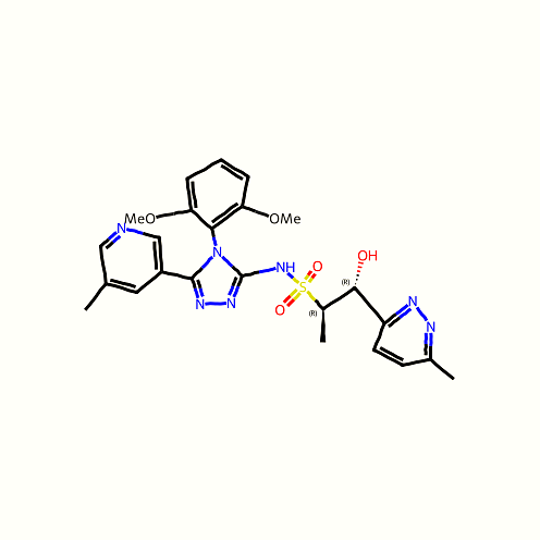 COc1cccc(OC)c1-n1c(NS(=O)(=O)[C@H](C)[C@H](O)c2ccc(C)nn2)nnc1-c1cncc(C)c1